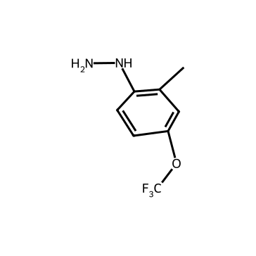 Cc1cc(OC(F)(F)F)ccc1NN